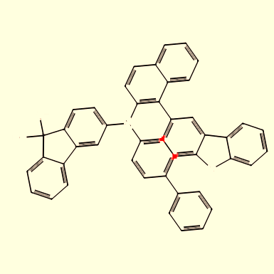 CC1(C)c2ccccc2-c2cc(N(c3ccc(-c4ccccc4)cc3)c3ccc4ccccc4c3-c3ccc4sc5ccccc5c4c3)ccc21